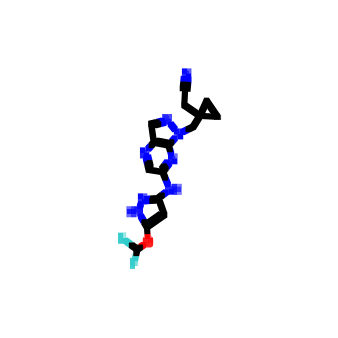 N#CCC1(Cn2ncc3ncc(Nc4cc(OC(F)F)[nH]n4)nc32)CC1